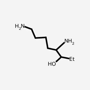 CCC(O)C(N)CCCCN